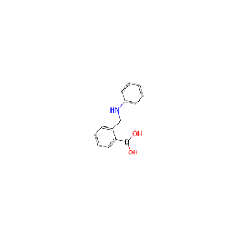 OB(O)c1ccccc1CNc1ccccc1